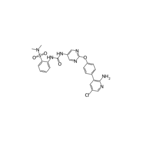 CN(C)S(=O)(=O)c1ccccc1NC(=O)Nc1cnc(Oc2ccc(-c3cc(Cl)cnc3N)cc2)nc1